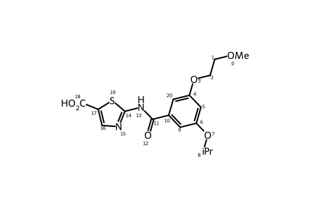 COCCOc1cc(OC(C)C)cc(C(=O)Nc2ncc(C(=O)O)s2)c1